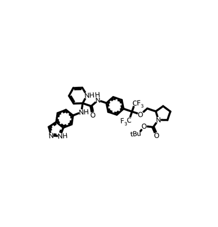 CC(C)(C)OC(=O)N1CCCC1COC(c1ccc(NC(=O)C2(Nc3ccc4cn[nH]c4c3)C=CC=CN2)cc1)(C(F)(F)F)C(F)(F)F